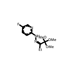 CCC(=NNc1ccc(F)cn1)C(OC)(OC)OC